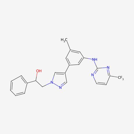 Cc1cc(Nc2nccc(C(F)(F)F)n2)cc(-c2cnn(CC(O)c3ccccc3)c2)c1